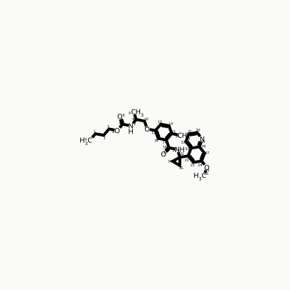 CCCCOC(=O)NC(C)COc1ccc(C)c(C(=O)NC2(c3cc(OC)cc4ncccc34)CC2)c1